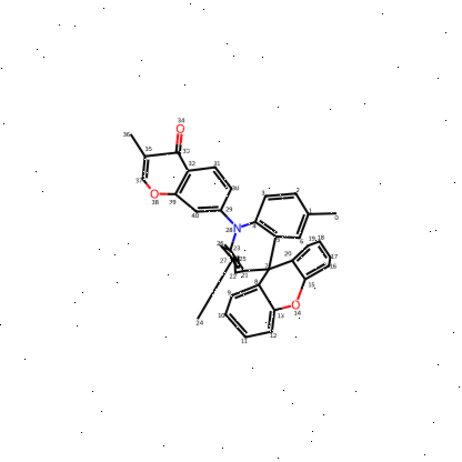 Cc1ccc2c(c1)C1(c3ccccc3Oc3ccccc31)c1cc(C)ccc1N2c1ccc2c(=O)c(C)coc2c1